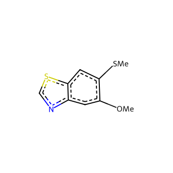 COc1cc2ncsc2cc1SC